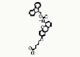 O=C(O)CCCCOc1ccc2c(c1)Cc1cccc(NC(=O)OCC3c4ccccc4-c4ccccc43)c1O2